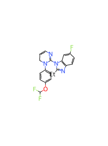 CCc1nc2ccc(F)cc2n1C1=NC=CCN1c1ccc(OC(F)F)cc1